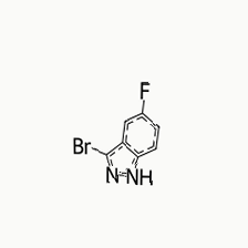 Fc1ccc2[nH]nc(Br)c2c1